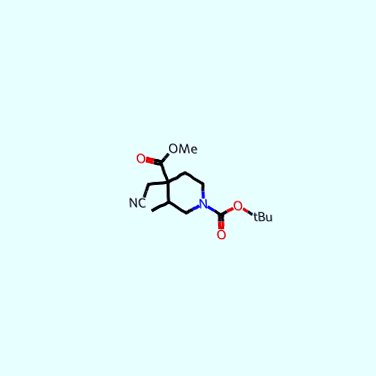 COC(=O)C1(CC#N)CCN(C(=O)OC(C)(C)C)CC1C